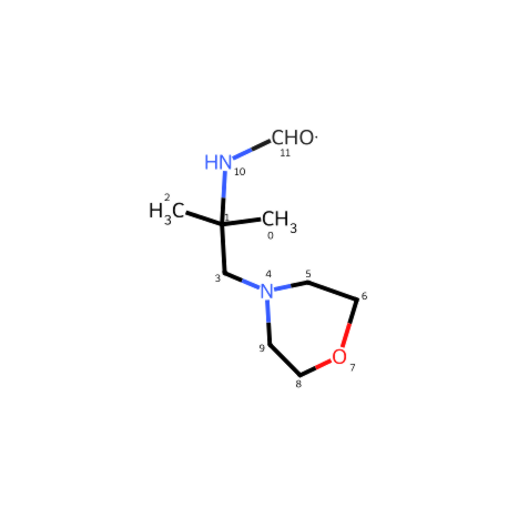 CC(C)(CN1CCOCC1)N[C]=O